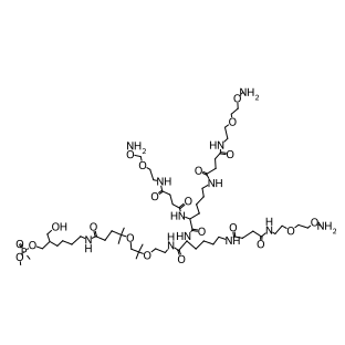 COP(C)(=O)OCC(CO)CCCCNC(=O)CCC(C)(C)OCC(C)(C)OCCNC(=O)C(CCCCNC(=O)CCC(=O)NCCOCCON)NC(=O)C(CCCCNC(=O)CCC(=O)NCCOCCON)NC(=O)CCC(=O)NCCOCON